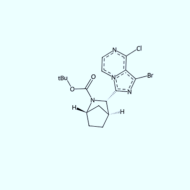 CC(C)(C)OC(=O)N1[C@H]2CC[C@@H](C2)[C@H]1c1nc(Br)c2c(Cl)nccn12